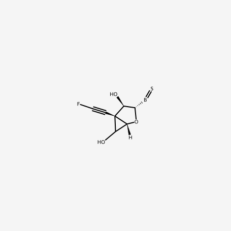 OC1[C@H]2O[C@@H](B=S)[C@H](O)[C@@]12C#CF